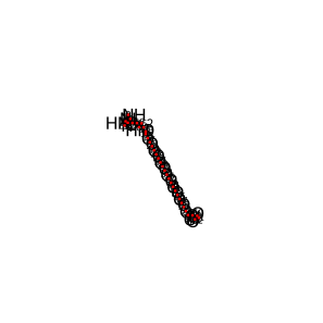 Nc1nc(OCc2ccc(CNC(=O)CCOCCOCCOCCOCCOCCOCCOCCOCCOCCOCCOCCOCCOCCC(=O)ON3C(=O)CCC3=O)cc2)c2nc[nH]c2n1